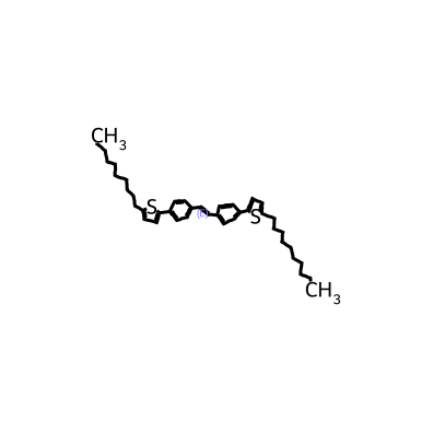 CCCCCCCCCCc1ccc(-c2ccc(/C=C/c3ccc(-c4ccc(CCCCCCCCCC)s4)cc3)cc2)s1